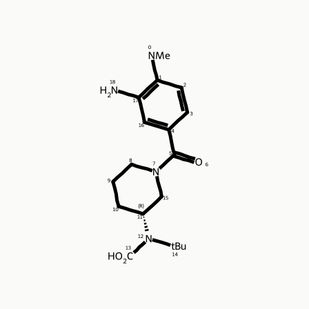 CNc1ccc(C(=O)N2CCC[C@@H](N(C(=O)O)C(C)(C)C)C2)cc1N